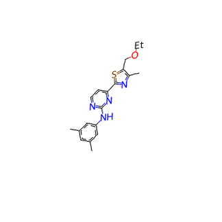 CCOCc1sc(-c2ccnc(Nc3cc(C)cc(C)c3)n2)nc1C